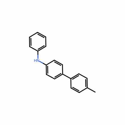 Cc1ccc(-c2ccc(Nc3ccccc3)cc2)cc1